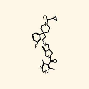 Cc1ncnc(C)c1C(=O)N1CC2=CN(CCC3(c4cccc(F)c4)CCN(C(=O)C4CC4)CC3)CC2C1